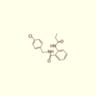 CCC(=O)Nc1ccccc1C(=O)NCc1ccc(Cl)cc1